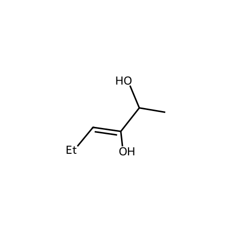 CCC=C(O)C(C)O